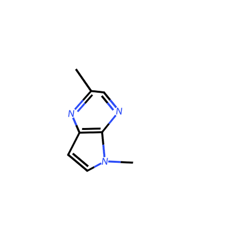 Cc1cnc2c(ccn2C)n1